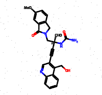 COc1ccc2c(c1)C(=O)N(C[C@](C#Cc1cnc3ccccc3c1CO)(C=O)NC(N)=O)C2